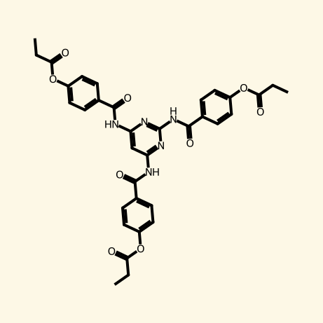 CCC(=O)Oc1ccc(C(=O)Nc2cc(NC(=O)c3ccc(OC(=O)CC)cc3)nc(NC(=O)c3ccc(OC(=O)CC)cc3)n2)cc1